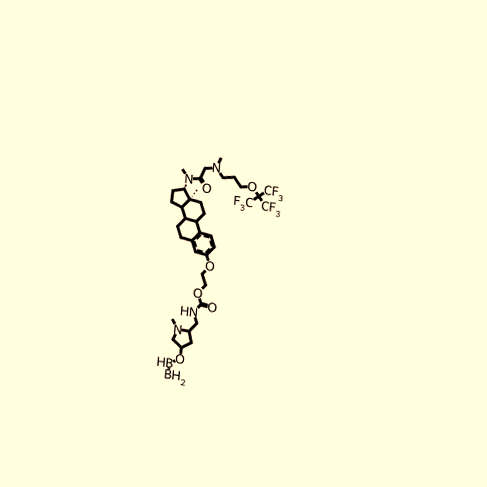 BBOC1CC(CNC(=O)OCCOc2ccc3c(c2)CCC2C3CC[C@@]3(C)C2CC[C@@H]3N(C)C(=O)CN(C)CCCOC(C(F)(F)F)(C(F)(F)F)C(F)(F)F)N(C)C1